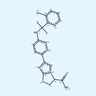 CC(C)(Nc1ccc(-c2cn3c(n2)SCC3C(N)=O)nn1)c1ncccc1Cl